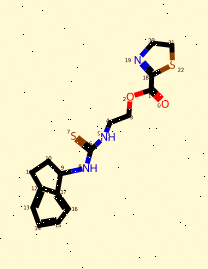 O=C(OCCNC(=S)NC1CCc2ccccc21)C1=NCCS1